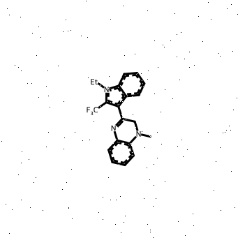 CCn1c(C(F)(F)F)c(C2=Nc3ccccc3N(C)C2)c2ccccc21